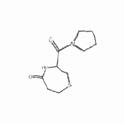 O=C1CCSCC(C(=O)N2CCCC2)N1